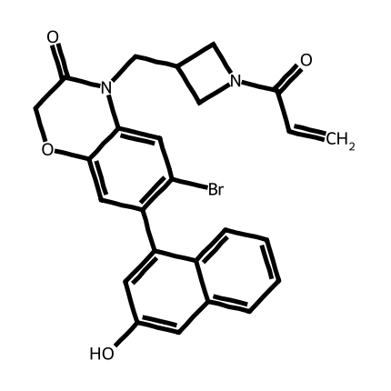 C=CC(=O)N1CC(CN2C(=O)COc3cc(-c4cc(O)cc5ccccc45)c(Br)cc32)C1